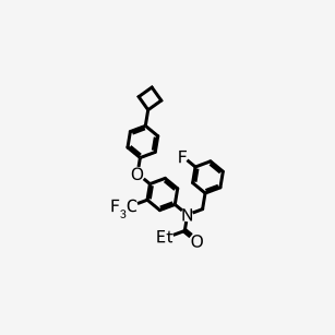 CCC(=O)N(Cc1cccc(F)c1)c1ccc(Oc2ccc(C3CCC3)cc2)c(C(F)(F)F)c1